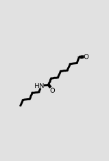 CCCCCNC(=O)CCCCCC[C]=O